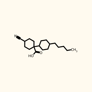 CCCCCC1CCC(C2(C(=O)O)CCC(C#N)CC2)CC1